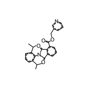 CC(C)c1cccc(C(C)C)c1N1C(=O)c2cccc(C(=O)OCc3cccnc3)c2C1=O